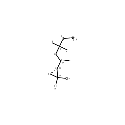 C[C@H](CC(C)(C)SN)[C@H]1CC1(Cl)Cl